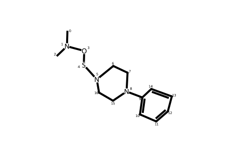 CN(C)OSN1CCN(c2ccccc2)CC1